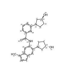 Cn1ncc2cc(N3CC[C@H](O)C3)c(NC(=O)c3cccc(N4CC[C@H](O)C4)n3)cc21